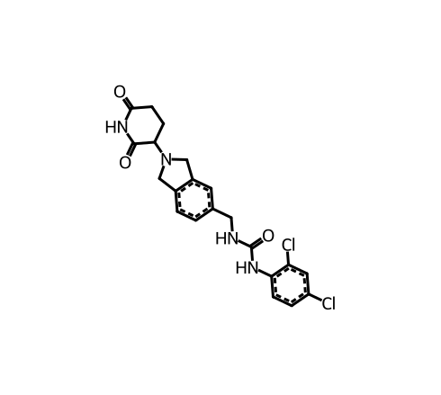 O=C1CCC(N2Cc3ccc(CNC(=O)Nc4ccc(Cl)cc4Cl)cc3C2)C(=O)N1